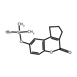 CC(C)(C)[Si](C)(C)Oc1ccc2oc(=O)c3c(c2c1)CCC3